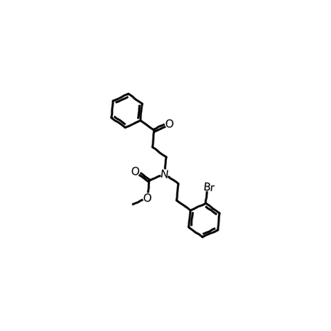 COC(=O)N(CCC(=O)c1ccccc1)CCc1ccccc1Br